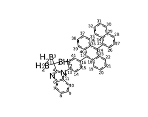 BC(B)(B)c1nc2ccccc2n1-c1ccc(-c2c3ccccc3c(-c3cccc4ccccc34)c3ccccc23)cc1